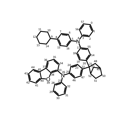 c1ccc(N(c2ccc(C3CCCCC3)cc2)c2ccc(C3(c4ccc(N(c5ccccc5)c5cccc6c5oc5ccccc56)cc4)CC4CCC3C4)cc2)cc1